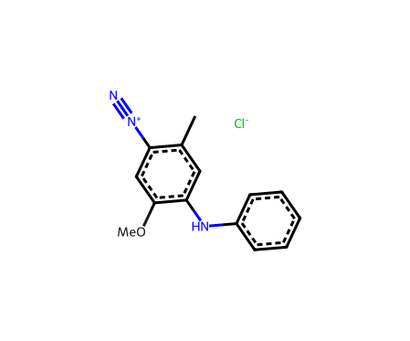 COc1cc([N+]#N)c(C)cc1Nc1ccccc1.[Cl-]